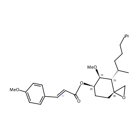 COc1ccc(/C=C/C(=O)O[C@@H]2CC[C@]3(CO3)[C@@H](C(C)CCCC(C)C)[C@@H]2OC)cc1